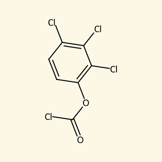 O=C(Cl)Oc1ccc(Cl)c(Cl)c1Cl